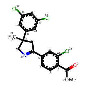 COC(=O)c1ccc(C2=NCC(c3cc(Cl)cc(Cl)c3)(C(F)(F)F)C2)cc1Cl